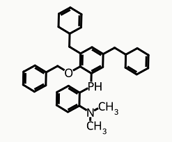 CN(C)c1ccccc1Pc1cc(CC2C=CC=CC2)cc(CC2C=CC=CC2)c1OCc1ccccc1